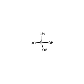 O[P](O)(O)O